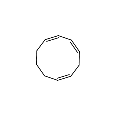 C1=CCC=CCCCC=C1